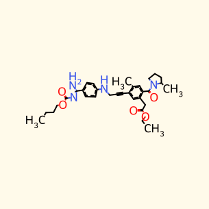 CCCCOC(=O)N=C(N)c1ccc(NCC#Cc2cc(CC(=O)OCC)c(C(=O)N3CCCC3C)cc2C)cc1